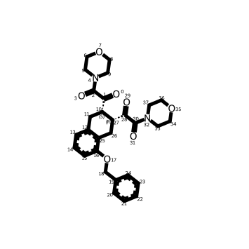 O=C(C(=O)N1CCOCC1)[C@H]1Cc2cccc(OCc3ccccc3)c2C[C@H]1C(=O)C(=O)N1CCOCC1